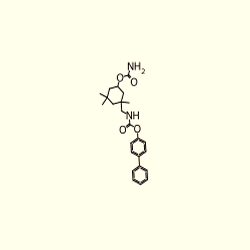 CC1(C)CC(OC(N)=O)CC(C)(CNC(=O)Oc2ccc(-c3ccccc3)cc2)C1